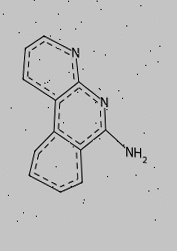 Nc1nc2ncccc2c2ccccc12